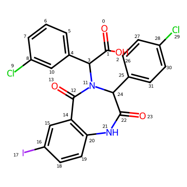 O=C(O)C(c1cccc(Cl)c1)N1C(=O)c2cc(I)ccc2NC(=O)C1c1ccc(Cl)cc1